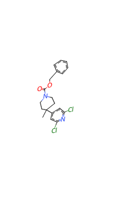 CC1(c2cc(Cl)nc(Cl)c2)CCN(C(=O)OCc2ccccc2)CC1